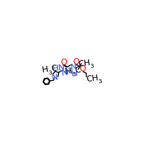 CCCCOC(C)(C)C(=O)NCc1nnc(C2CN(Cc3ccccc3)CC2C)[nH]c1=O